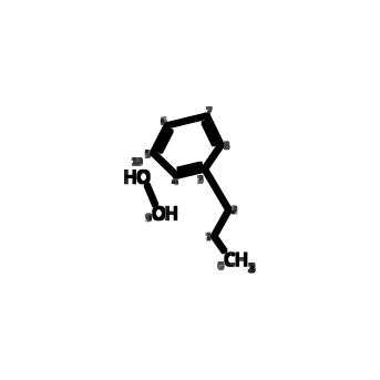 CCCc1ccccc1.OO